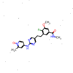 CNC(=O)c1cc(CCc2cnc(Nc3cc[n+]([O-])c(C)c3)nc2)c(F)c(OC)c1